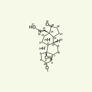 C[C@]12CCC(=O)C=C1CC[C@@H]1[C@@H]2CC[C@]2(C=NO)C(=O)CC[C@@H]12